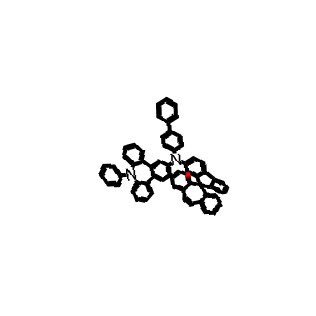 C1=Cc2ccccc2C2(c3ccccc31)c1ccccc1-c1ccc(N(c3ccc(-c4ccccc4)cc3)c3ccc4c(c3)-c3ccccc3N(c3ccccc3)c3ccccc3-4)cc12